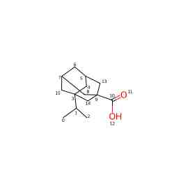 CC(C)C12CC3CC(CC(C(=O)O)(C3)C1)C2